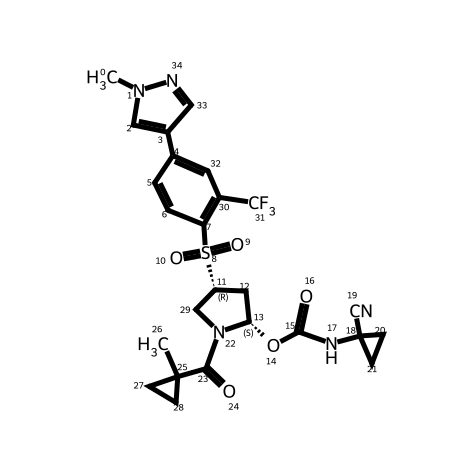 Cn1cc(-c2ccc(S(=O)(=O)[C@@H]3C[C@H](OC(=O)NC4(C#N)CC4)N(C(=O)C4(C)CC4)C3)c(C(F)(F)F)c2)cn1